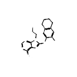 Nc1ncnc2c1nc(Sc1cc3c(cc1I)CCCC3)n2CCBr